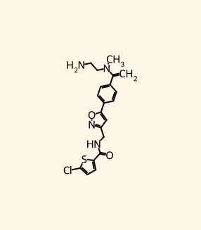 C=C(c1ccc(-c2cc(CNC(=O)c3ccc(Cl)s3)no2)cc1)N(C)CCN